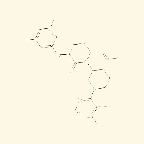 NC(=O)[C@@H]1CCN(c2ncnc(N)c2F)C[C@H]1N1CCC[C@H](Nc2cc(Cl)cc(C(F)(F)F)c2)C1=O